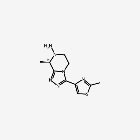 Cc1nc(-c2nnc3n2CCN(N)[C@@H]3C)cs1